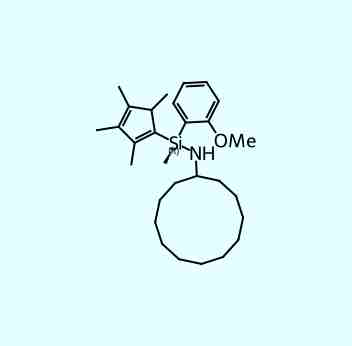 COc1ccccc1[Si@](C)(NC1CCCCCCCCCCC1)C1=C(C)C(C)=C(C)C1C